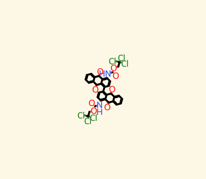 O=C(Nc1ccc(-c2ccc(NC(=O)OCC(Cl)(Cl)Cl)c3c2C(=O)c2ccccc2C3=O)c2c1C(=O)c1ccccc1C2=O)OCC(Cl)(Cl)Cl